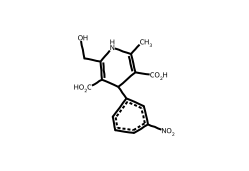 CC1=C(C(=O)O)C(c2cccc([N+](=O)[O-])c2)C(C(=O)O)=C(CO)N1